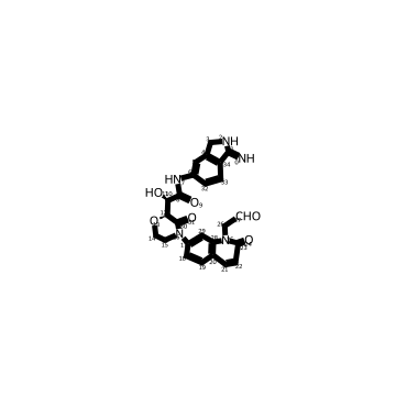 N=C1NCc2cc(NC(=O)[C@H](O)[C@H]3OCCN(c4ccc5ccc(=O)n(CC=O)c5c4)C3=O)ccc21